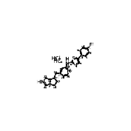 Cl.Cl.Fc1ccc(-c2cnc(Nc3cc(CC4CCC5CNCC54)ccn3)s2)cc1